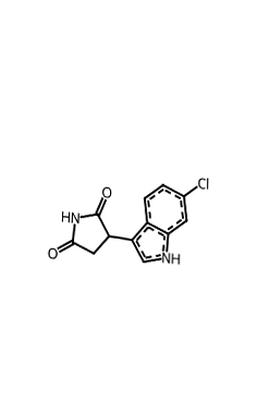 O=C1CC(c2c[nH]c3cc(Cl)ccc23)C(=O)N1